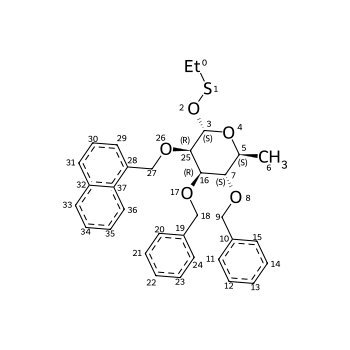 CCSO[C@@H]1O[C@@H](C)[C@H](OCc2ccccc2)[C@@H](OCc2ccccc2)[C@H]1OCc1cccc2ccccc12